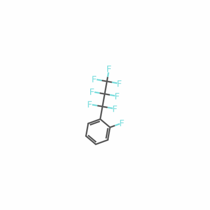 Fc1ccccc1C(F)(F)C(F)(F)C(F)(F)F